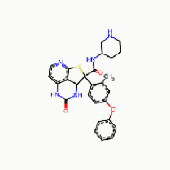 Cc1cc(Oc2ccccc2)ccc1C1(C(=O)NC2CCCNC2)Sc2nccc3c2C1NC(=O)N3